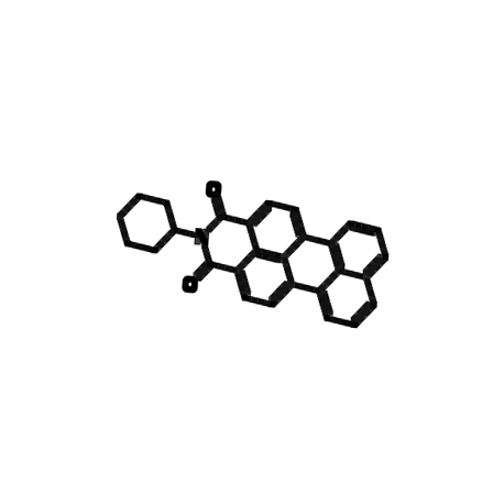 O=C1c2ccc3c4cccc5cccc(c6ccc(c2c36)C(=O)N1C1CCCCC1)c54